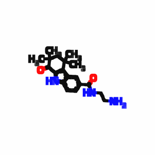 CC1(C)CC(C)(C)c2c([nH]c3ccc(C(=O)NCCN)cc23)C1=O